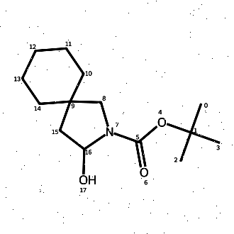 CC(C)(C)OC(=O)N1CC2(CCCCC2)CC1O